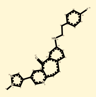 Cn1cc(-c2cnc3ccc4ccc(NCCc5ccc(F)cc5)cc4c(=O)c3c2)cn1